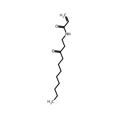 C=CC(=O)NCCC(=O)CCCCCCCC